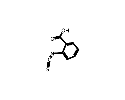 O=C(O)c1ccccc1N=C=S